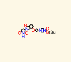 CC(C)(C)OC(=O)N1CCN([C@H]2C[C@@H](Oc3cccc4c3CN(C3CCC(=O)NC3=O)C4=O)C2)CC1